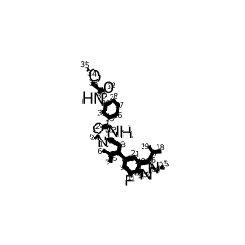 C=N/C(=C\C(=C(C)C)c1cc(F)c2nn(C)c(C(C)C)c2c1)NC(=O)[C@H]1CCC[C@@H](NC(=O)COC)C1